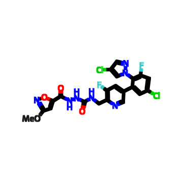 COc1cc(C(=O)NNC(=O)NCc2ncc(-c3cc(Cl)cc(F)c3-n3cc(Cl)cn3)cc2F)on1